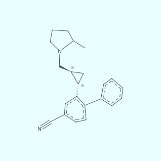 CC1CCCN1C[C@H]1C[C@@H]1c1cc(C#N)ccc1-c1ccccc1